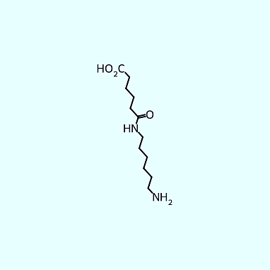 NCCCCCCNC(=O)CCCCC(=O)O